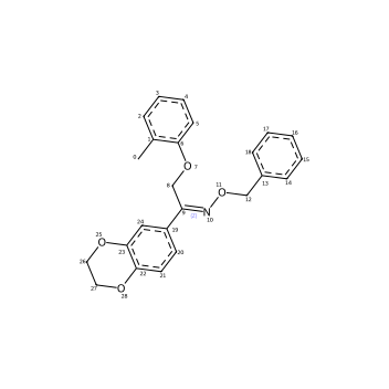 Cc1ccccc1OC/C(=N\OCc1ccccc1)c1ccc2c(c1)OCCO2